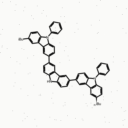 CCC(C)c1ccc2c(c1)c1cc(-c3ccc4[nH]c5ccc(-c6ccc7c(c6)c6cc([C@H](C)CC)ccc6n7-c6ccccc6)cc5c4c3)ccc1n2-c1ccccc1